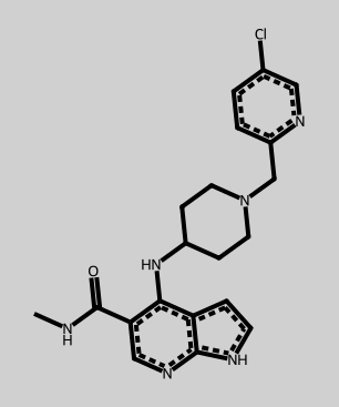 CNC(=O)c1cnc2[nH]ccc2c1NC1CCN(Cc2ccc(Cl)cn2)CC1